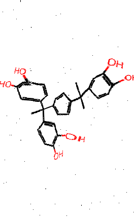 CC(C)(c1ccc(C(C)(c2ccc(O)c(O)c2)c2ccc(O)c(O)c2)cc1)c1ccc(O)c(O)c1